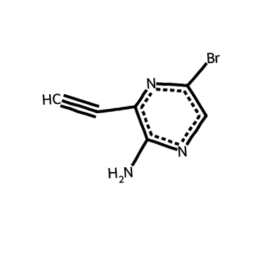 C#Cc1nc(Br)cnc1N